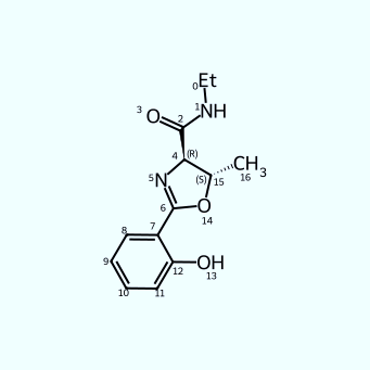 CCNC(=O)[C@@H]1N=C(c2ccccc2O)O[C@H]1C